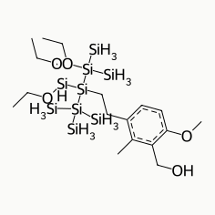 CCO[SiH](OCC)[Si](CCc1ccc(OC)c(CO)c1C)([Si]([SiH3])([SiH3])[SiH3])[Si]([SiH3])([SiH3])OCC